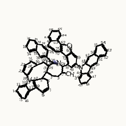 CC1CCC2C3CC=Cc4c3n(c3ccccc43)C3=CC(CC=C3)C[C@@H]2/C(c2ccc3ccccc3c2)=N\C1c1cc(-n2c3ccccc3c3cc4ccccc4cc32)cc2oc3c4ccccc4ccc3c12